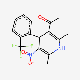 CC(=O)C1=C(C)NC(C)=C([N+](=O)[O-])C1c1ccccc1C(F)(F)F